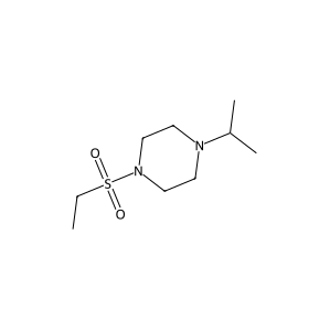 CCS(=O)(=O)N1CCN(C(C)C)CC1